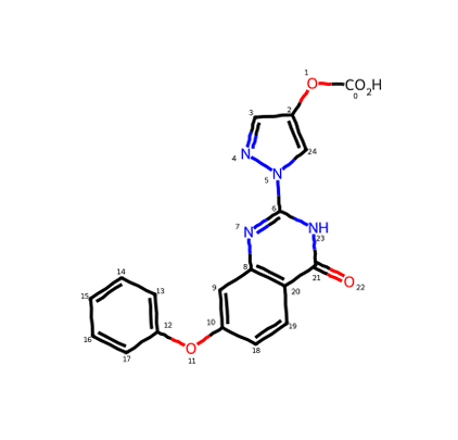 O=C(O)Oc1cnn(-c2nc3cc(Oc4ccccc4)ccc3c(=O)[nH]2)c1